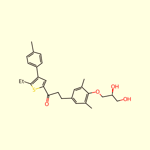 CCc1sc(C(=O)CCc2cc(C)c(OC[C@@H](O)CO)c(C)c2)cc1-c1ccc(C)cc1